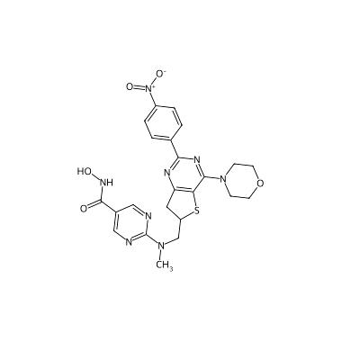 CN(CC1Cc2nc(-c3ccc([N+](=O)[O-])cc3)nc(N3CCOCC3)c2S1)c1ncc(C(=O)NO)cn1